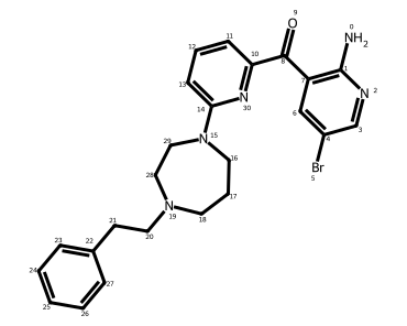 Nc1ncc(Br)cc1C(=O)c1cccc(N2CCCN(CCc3ccccc3)CC2)n1